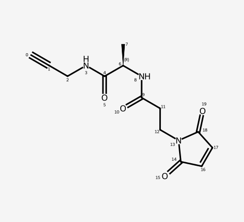 C#CCNC(=O)[C@@H](C)NC(=O)CCN1C(=O)C=CC1=O